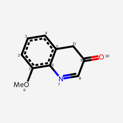 COc1cccc2c1N=CC(=O)C2